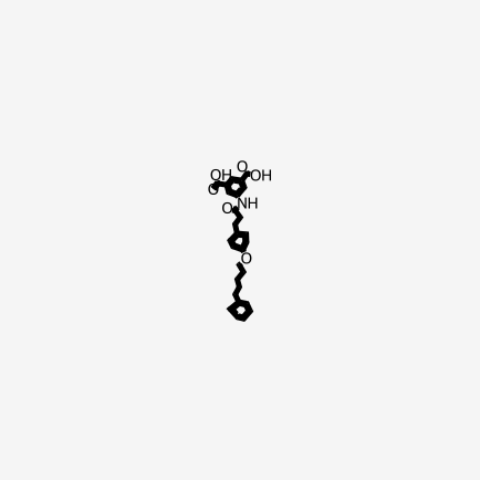 O=C(CCc1ccc(OCCCCCc2ccccc2)cc1)Nc1cc(C(=O)O)cc(C(=O)O)c1